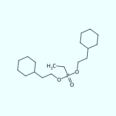 CCP(=O)(OCCC1CCCCC1)OCCC1CCCCC1